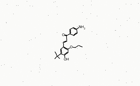 CCCOc1cc(O)c(C(C)(C)C)cc1/C=C/C(=O)c1ccc(N)cc1